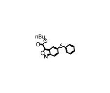 CCCCOC(=O)c1onc2ccc(Sc3ccccc3)cc12